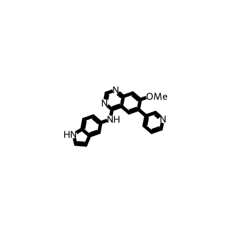 COc1cc2ncnc(Nc3ccc4[nH]ccc4c3)c2cc1-c1cccnc1